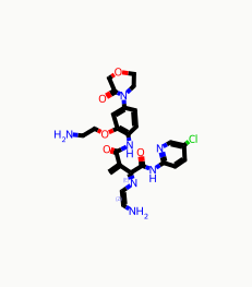 C=C(C(=O)Nc1ccc(N2CCOCC2=O)cc1OCCN)/C(=N\C=C/N)C(=O)Nc1ccc(Cl)cn1